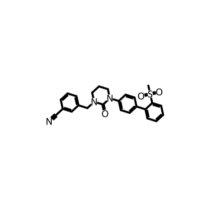 CS(=O)(=O)c1ccccc1-c1ccc(N2CCCN(Cc3cccc(C#N)c3)C2=O)cc1